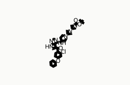 CC(C)(C)OC(=O)N1CC(N2CC(N3CCC(Nc4ncnc5[nH]cc(C(=O)c6ccc(Oc7ccccc7)cc6Cl)c45)CC3)C2)C1